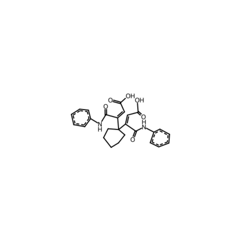 O=C(O)C=C(C(=O)Nc1ccccc1)C1(C(=CC(=O)O)C(=O)Nc2ccccc2)CCCCC1